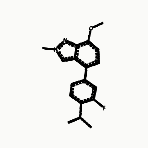 COc1ccc(-c2ccc(C(C)C)c(F)c2)c2cn(C)nc12